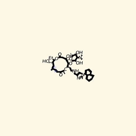 CC[C@H]1OC(=O)C[C@@H](O)[C@H](C)[C@@H](O[C@@H]2O[C@H](C)[C@@H](O)C(N(C)C)C2O)[C@@H](CCNCc2cn(-c3cccc4ccccc34)nn2)C[C@@H](C)C(=O)/C=C/C(C)=C/[C@@H]1CO